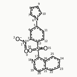 O=[N+]([O-])c1cc(-n2cccc2)ccc1S(=O)(=O)c1nccc2ccccc12